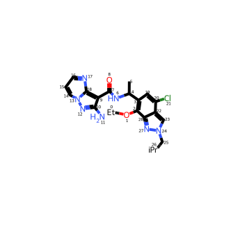 CCOc1c(C(C)NC(=O)c2c(N)nn3cccnc23)cc(Cl)c2cn(CC(C)C)nc12